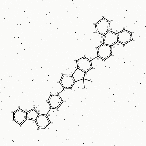 CC1(C)c2cc(-c3ccc(-c4cccc5c4oc4ccccc45)cc3)ccc2-c2ccc(-c3ccc4c5ccccc5c5nccnc5c4c3)cc21